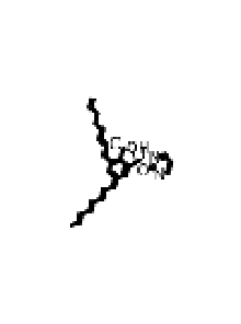 CCCCCCCCc1cc(CCCCCCCC)c(C(=O)O)c(C(=O)Oc2ncccn2)c1